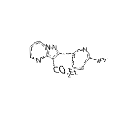 CCOC(=O)c1c(-c2ccc(C(C)C)nc2)nn2cccnc12